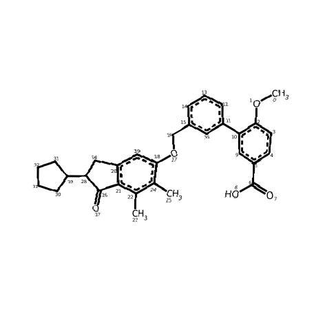 COc1ccc(C(=O)O)cc1-c1cccc(COc2cc3c(c(C)c2C)C(=O)C(C2CCCC2)C3)c1